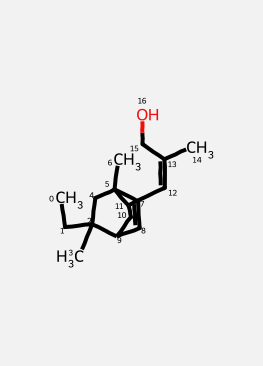 CCC1(C)CC2(C)C=CC1CC2C=C(C)CO